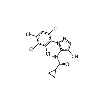 N#Cc1cnn(-c2c(Cl)cc(Cl)c(Cl)c2Cl)c1NC(=O)C1CC1